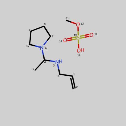 C=CCNC(C)N1CCCC1.COS(=O)(=O)O